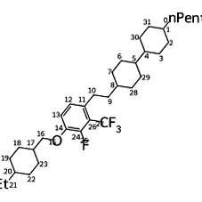 CCCCCC1CCC(C2CCC(CCc3ccc(OCC4CCC(CC)CC4)c(F)c3C(F)(F)F)CC2)CC1